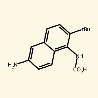 CC(C)(C)c1ccc2cc(N)ccc2c1NC(=O)O